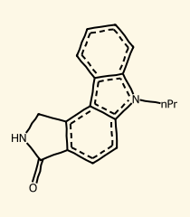 CCCn1c2ccccc2c2c3c(ccc21)C(=O)NC3